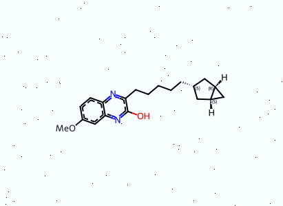 COc1ccc2nc(CCCCC[C@@H]3C[C@@H]4C[C@@H]4C3)c(O)nc2c1